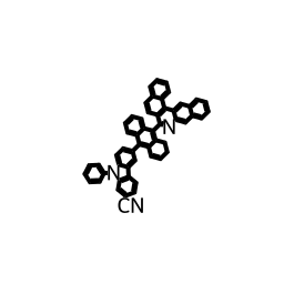 N#Cc1ccc2c3cc(-c4c5c(c(-c6nc7cc8ccccc8cc7c7c6ccc6ccccc67)c6ccccc46)CCC=C5)ccc3n(-c3ccccc3)c2c1